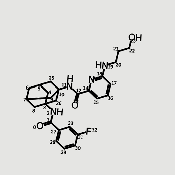 O=C(NC12CC3CC(C1)CC(NC(=O)c1cccc(NCCCO)n1)(C3)C2)c1cccc(F)c1